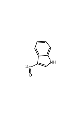 O=[13CH]c1c[nH]c2ccccc12